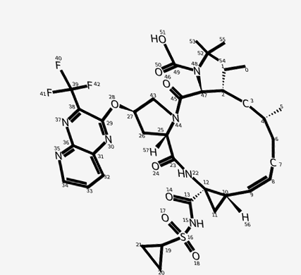 CC[C@@H]1C[C@H](C)CC/C=C\[C@@H]2C[C@@]2(C(=O)NS(=O)(=O)C2CC2)NC(=O)[C@@H]2C[C@@H](Oc3nc4cccnc4nc3C(F)(F)F)CN2C(=O)[C@H]1N(C(=O)O)C(C)(C)C